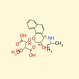 CC(C)N[C@H]1c2ccc3ccccc3c2OC[C@@H]1O.O.O=C(O)C(O)C(O)C(=O)O